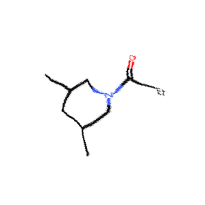 CCC(=O)N1CC(C)CC(C)C1